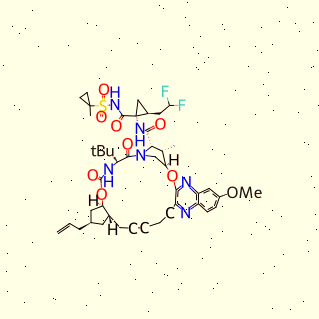 C=CC[C@@H]1C[C@H]2CCCCCc3nc4ccc(OC)cc4nc3O[C@H]3CN(C(=O)[C@H](C(C)(C)C)NC(=O)O[C@@H]2C1)[C@H](C(=O)N[C@]1(C(=O)NS(=O)(=O)C2(C)CC2)C[C@H]1CC(F)F)[C@@H]3C